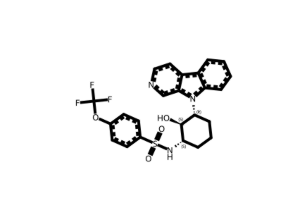 O=S(=O)(N[C@H]1CCC[C@@H](n2c3ccccc3c3ccncc32)[C@@H]1O)c1ccc(OC(F)(F)F)cc1